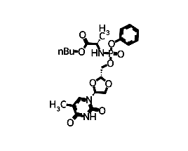 CCCCOC(=O)[C@H](C)NP(=O)(OC[C@@H]1OC[C@H](n2cc(C)c(=O)[nH]c2=O)O1)Oc1ccccc1